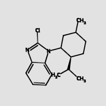 CC1CC[C@@H](C(C)C)C(n2c(Cl)nc3ccccc32)C1